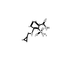 CS(=O)(=O)c1c(OCC2CC2)cccc1C(=O)O